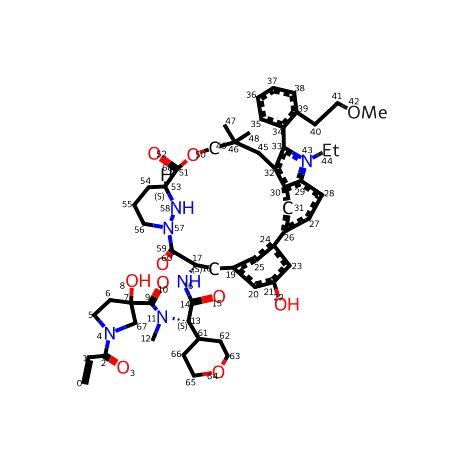 C=CC(=O)N1CCC(O)(C(=O)N(C)[C@H](C(=O)N[C@H]2Cc3cc(O)cc(c3)-c3ccc4c(c3)c(c(-c3ccccc3CCOC)n4CC)CC(C)(C)COC(=O)[C@@H]3CCCN(N3)C2=O)C2CCOCC2)C1